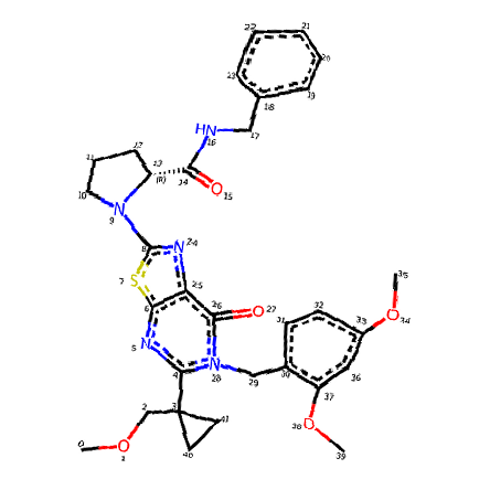 COCC1(c2nc3sc(N4CCC[C@@H]4C(=O)NCc4ccccc4)nc3c(=O)n2Cc2ccc(OC)cc2OC)CC1